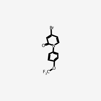 O=c1cc(Br)ccn1-c1ccc(OC(F)(F)F)cc1